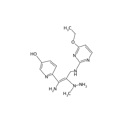 CCOc1ccnc(NC/C(=C(/N)c2ccc(O)cn2)N(C)N)n1